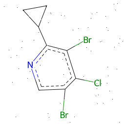 Clc1c(Br)cnc(C2CC2)c1Br